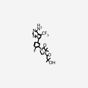 CC(C)(O)CC(=O)N1CCN(c2cc(-c3cc(C(F)(F)F)c4c(N)ncnn34)ccc2F)C(=O)C1(C)C